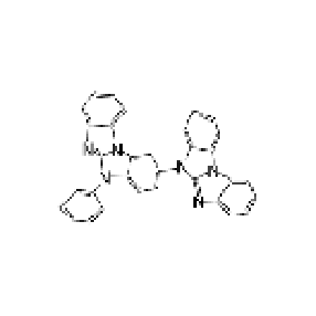 c1ccc(-n2c3ccc(-n4c5ccccc5n5c6ccccc6nc45)cc3n3c4ccccc4nc23)cc1